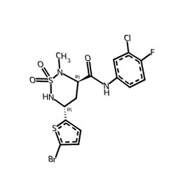 CN1[C@@H](C(=O)Nc2ccc(F)c(Cl)c2)C[C@H](c2ccc(Br)s2)NS1(=O)=O